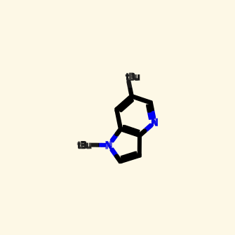 CC(C)(C)c1cnc2ccn(C(C)(C)C)c2c1